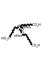 CCCCCC[C@H](C/C=C\CCCCCCCC(=O)O)OCC(CO[C@@H](C/C=C\CCCCCCCC(=O)O)CCCCCC)O[C@@H](C/C=C\CCCCCCCC(=O)O)CCCCCC